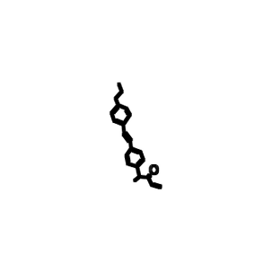 C=CC(=O)C(C)c1ccc(C#Cc2ccc(CCC)cc2)cc1